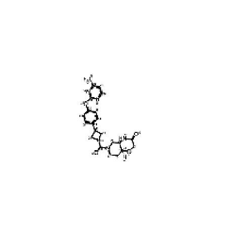 O=C1CO[C@H]2CCN(C(=O)N3CC(c4ccc(Oc5nccc(C(F)(F)F)n5)cc4)C3)CC2N1